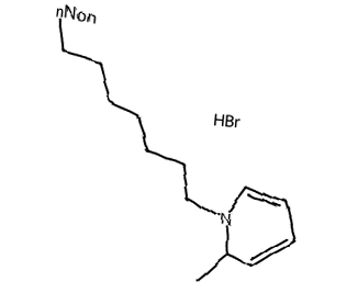 Br.CCCCCCCCCCCCCCCCN1C=CC=CC1C